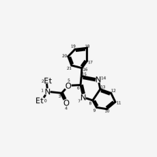 CCN(CC)C(=O)Oc1nc2ccccc2nc1-c1ccccc1